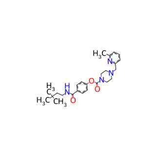 Cc1cccc(CN2CCN(C(=O)Oc3ccc(C(=O)NCCC(C)(C)C)cc3)CC2)n1